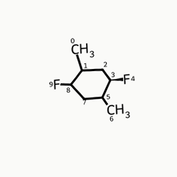 CC1C[C@@H](F)C(C)CC1F